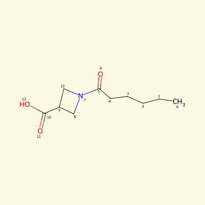 CCCCCC(=O)N1CC(C(=O)O)C1